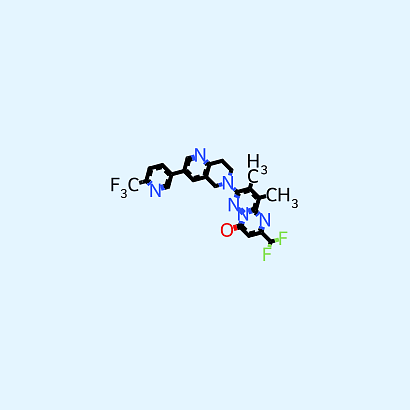 Cc1c(N2CCc3ncc(-c4ccc(C(F)(F)F)nc4)cc3C2)nn2c(=O)cc(C(F)F)nc2c1C